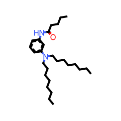 CCCCCCCCN(CCCCCCCC)c1cccc(NC(=O)CCCC)c1